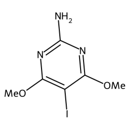 COc1nc(N)nc(OC)c1I